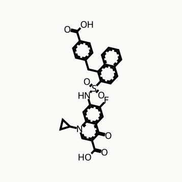 O=C(O)c1ccc(Cc2c(S(=O)(=O)Nc3cc4c(cc3F)c(=O)c(C(=O)O)cn4C3CC3)ccc3ccccc23)cc1